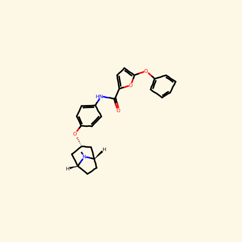 CN1[C@@H]2CC[C@H]1C[C@@H](Oc1ccc(NC(=O)c3ccc(Oc4ccccc4)o3)cc1)C2